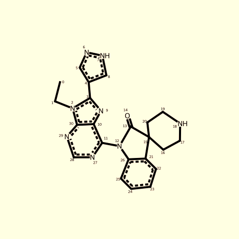 CCn1c(-c2cn[nH]c2)nc2c(N3C(=O)C4(CCNCC4)c4ccccc43)ncnc21